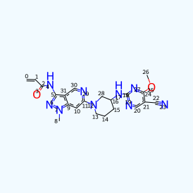 C=CC(=O)Nc1nn(C)c2cc(N3CCCC(Nc4ncc(C#N)c(OC)n4)C3)ncc12